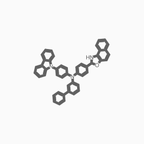 c1ccc(-c2cccc(N(c3ccc(C4Nc5c(ccc6ccccc56)O4)cc3)c3ccc(-n4c5ccccc5c5ccccc54)cc3)c2)cc1